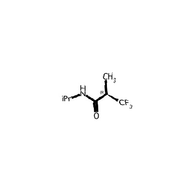 CC(C)NC(=O)[C@@H](C)C(F)(F)F